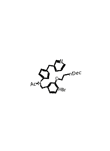 Br.CCCCCCCCCCCCOc1cccc(CN(C(C)=O)c2ccc(Cc3cccnc3)cc2)c1